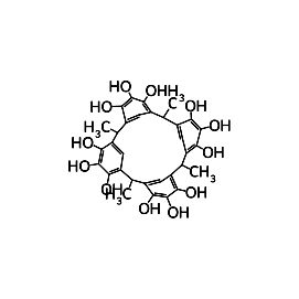 CC1c2cc(c(O)c(O)c2O)C(C)c2cc(c(O)c(O)c2O)C(C)c2cc(c(O)c(O)c2O)C(C)c2cc1c(O)c(O)c2O